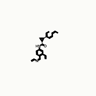 C=C/N=C\c1ccc(NC(=O)[C@@H]2C[C@H]2C(/C=C\C=C/C)=C/C)cc1C=C